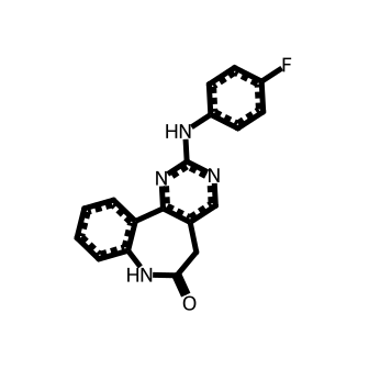 O=C1Cc2cnc(Nc3ccc(F)cc3)nc2-c2ccccc2N1